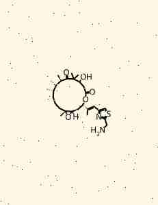 C/C(=C\c1csc(CN)n1)[C@@H]1C[C@@H]2O[C@]2(C)CCC[C@H](C)[C@H](C)[C@@H](C)C(=O)C(C)(C)[C@@H](O)CC(=O)O1